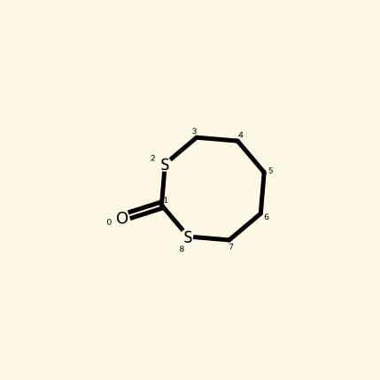 O=C1SCCCCCS1